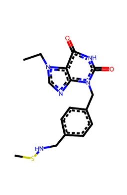 CCn1cnc2c1c(=O)[nH]c(=O)n2Cc1ccc(CNSC)cc1